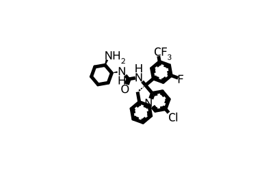 N[C@@H]1CCCC[C@H]1NC(=O)N[C@@](Cc1ccccc1)(c1cc(F)cc(C(F)(F)F)c1)c1ccc(Cl)cn1